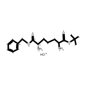 CC(C)(C)OC(=O)C(N)CCC[C@H](N)C(=O)OCc1ccccc1.Cl